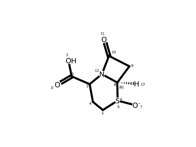 O=C(O)C1CC[S+]([O-])[C@@H]2CC(=O)N12